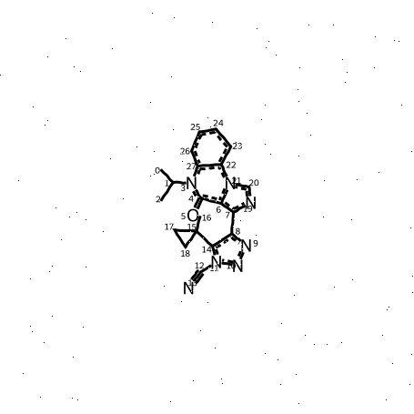 CC(C)n1c(=O)c2c(-c3nnn(C#N)c3C3(C)CC3)ncn2c2ccccc21